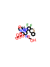 COC(=O)OCOc1c2n(c(-c3cc(F)c(F)c4c3Cc3ccccc3SC4)c/c1=N\OCCO)N[C@@H]1COCCN1C2=O